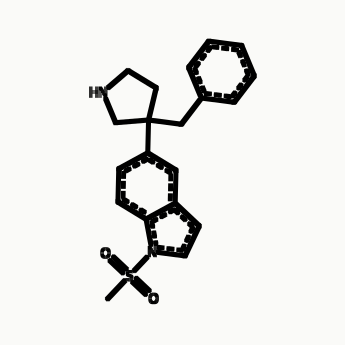 CS(=O)(=O)n1ccc2cc(C3(Cc4ccccc4)CCNC3)ccc21